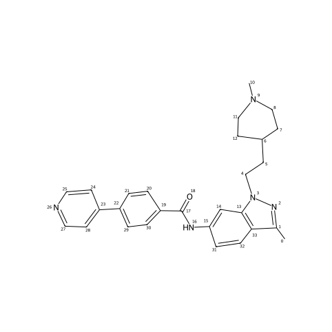 Cc1nn(CCC2CCN(C)CC2)c2cc(NC(=O)c3ccc(-c4ccncc4)cc3)ccc12